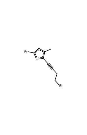 Cc1cc(C(C)C)sc1C#CCCC(C)C